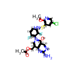 COc1ncc(Cl)cc1SNc1ccc(F)c(-n2cc(COC(C)=O)c3nc(N)ncc3c2=O)c1F